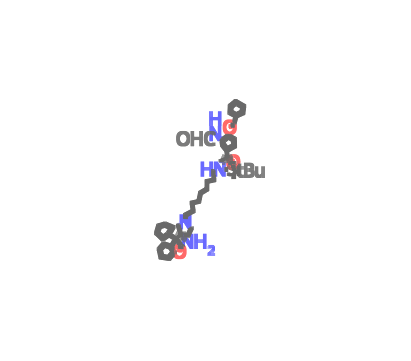 CC(C)(C)[Si](C)(C)O[C@@H](CNCCCCCCCCCN1CC[C@@H](C(C(N)=O)(c2ccccc2)c2ccccc2)C1)c1ccc(OCc2ccccc2)c(NC=O)c1